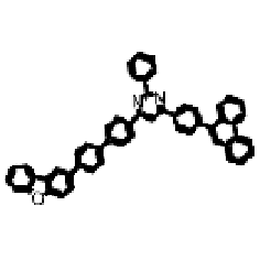 c1ccc(-c2nc(-c3ccc(-c4ccc(-c5ccc6oc7ccccc7c6c5)cc4)cc3)cc(-c3ccc(-c4cc5ccccc5c5ccccc45)cc3)n2)cc1